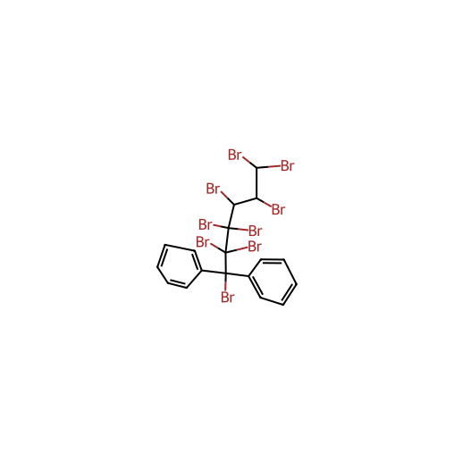 BrC(Br)C(Br)C(Br)C(Br)(Br)C(Br)(Br)C(Br)(c1ccccc1)c1ccccc1